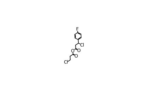 O=C(CCCl)OC(=O)CC(Cl)c1ccc(F)cc1